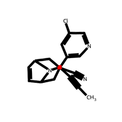 CC#CCN1C2C=CC1CC(C#N)(c1cncc(Cl)c1)C2